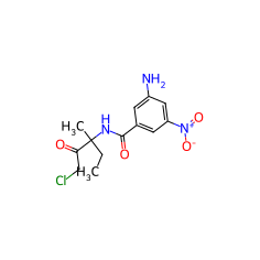 CCC(C)(NC(=O)c1cc(N)cc([N+](=O)[O-])c1)C(=O)CCl